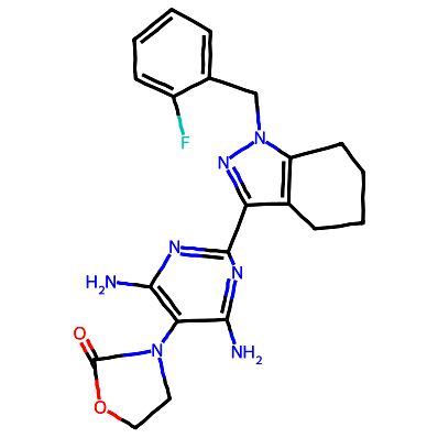 Nc1nc(-c2nn(Cc3ccccc3F)c3c2CCCC3)nc(N)c1N1CCOC1=O